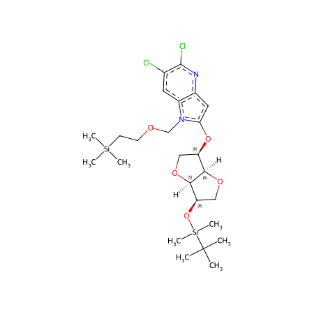 CC(C)(C)[Si](C)(C)O[C@@H]1CO[C@H]2[C@@H]1OC[C@H]2Oc1cc2nc(Cl)c(Cl)cc2n1COCC[Si](C)(C)C